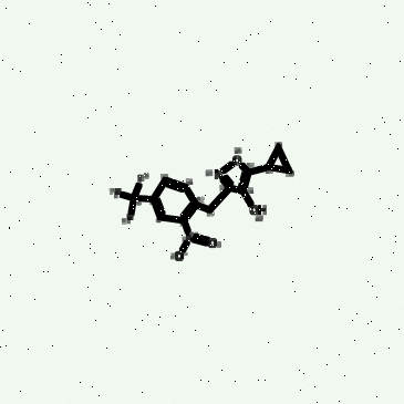 O=[N+]([O-])c1cc(C(F)(F)F)ccc1Cc1noc(C2CC2)c1O